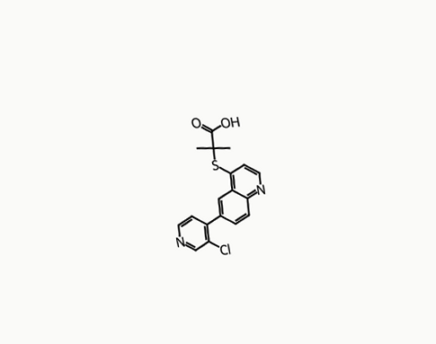 CC(C)(Sc1ccnc2ccc(-c3ccncc3Cl)cc12)C(=O)O